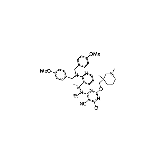 CCN(c1nc(OCC2(C)CCCN(C)C2)nc(Cl)c1C#N)[C@H](C)c1cccnc1N(Cc1ccc(OC)cc1)Cc1ccc(OC)cc1